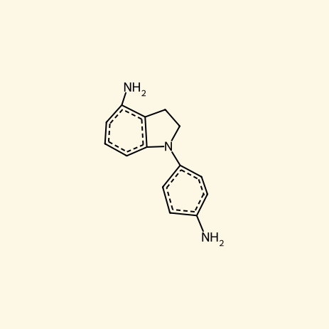 Nc1ccc(N2CCc3c(N)cccc32)cc1